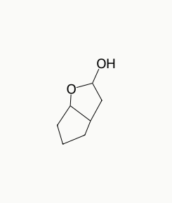 OC1CC2CCCC2O1